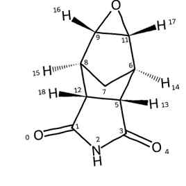 O=C1NC(=O)[C@H]2[C@H]3C[C@H]([C@@H]4O[C@H]34)[C@@H]12